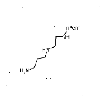 CCCCCNCCNCCCN